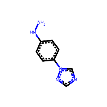 NNc1ccc(-n2cncn2)cc1